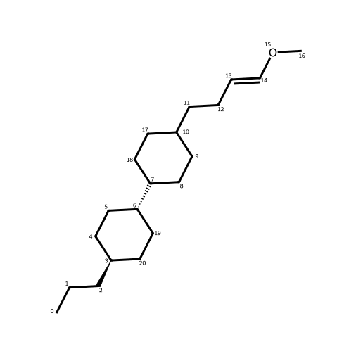 CCC[C@H]1CC[C@H](C2CCC(CCC=COC)CC2)CC1